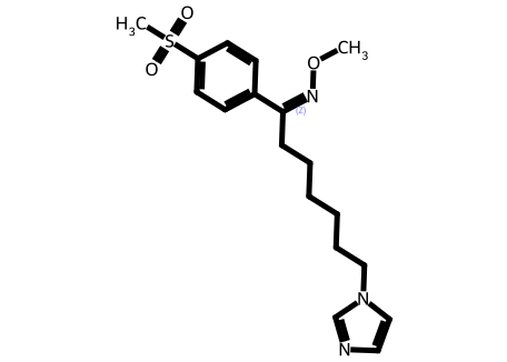 CO/N=C(/CCCCCCn1ccnc1)c1ccc(S(C)(=O)=O)cc1